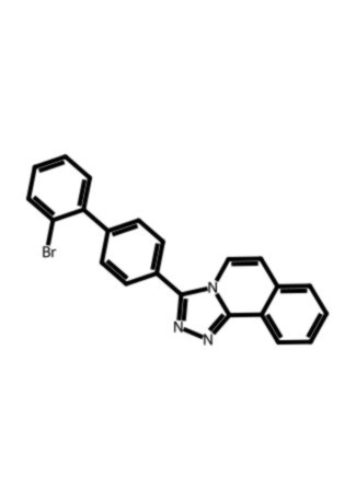 Brc1ccccc1-c1ccc(-c2nnc3c4ccccc4ccn23)cc1